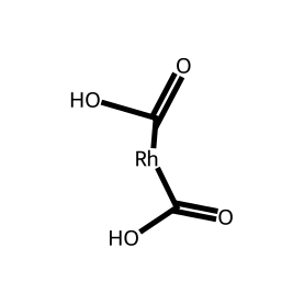 O=[C](O)[Rh][C](=O)O